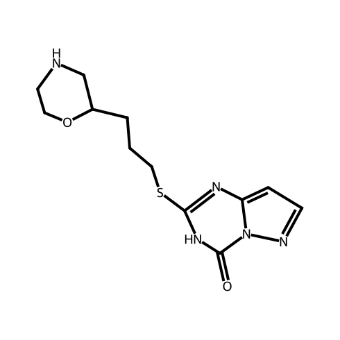 O=c1[nH]c(SCCCC2CNCCO2)nc2ccnn12